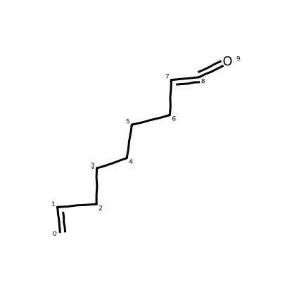 C=CC[CH]CCCC=C=O